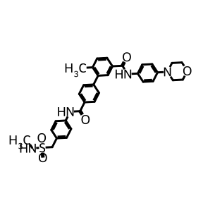 CNS(=O)(=O)Cc1ccc(NC(=O)c2ccc(-c3cc(C(=O)Nc4ccc(N5CCOCC5)cc4)ccc3C)cc2)cc1